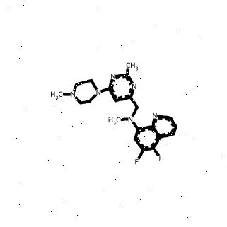 Cc1nc(CN(C)c2cc(F)c(F)c3cccnc23)cc(N2CCN(C)CC2)n1